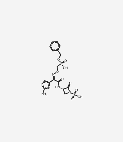 Nc1nc(C(=NOCP(=O)(O)OCc2ccccc2)C(=O)N[C@H]2CN(S(=O)(=O)O)C2=O)cs1